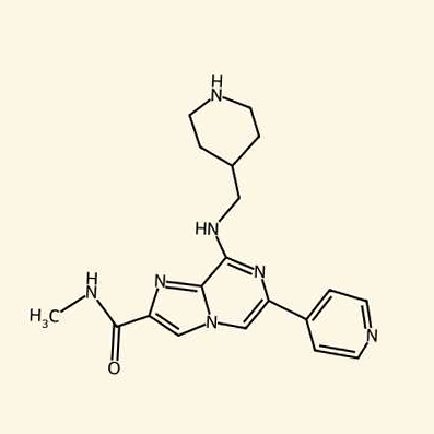 CNC(=O)c1cn2cc(-c3ccncc3)nc(NCC3CCNCC3)c2n1